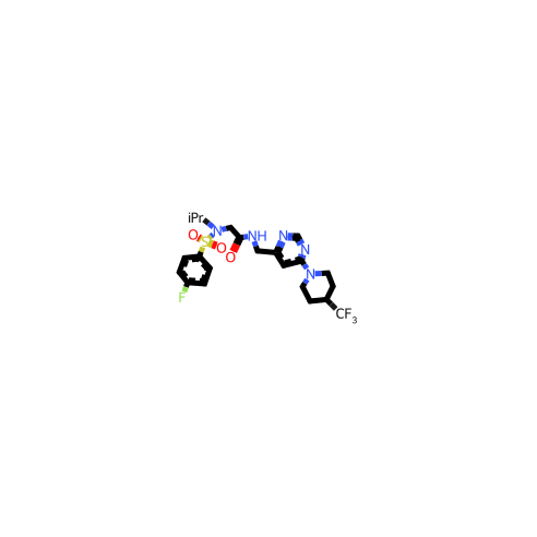 CC(C)N(CC(=O)NCc1cc(N2CCC(C(F)(F)F)CC2)ncn1)S(=O)(=O)c1ccc(F)cc1